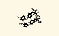 O=C(O)[C@](I)(Cc1ccc(Oc2ccc(O)cc2)cc1)N(I)I.O=C(O)[C@](I)(Cc1ccc(Oc2ccc(O)cc2)cc1)N(I)I